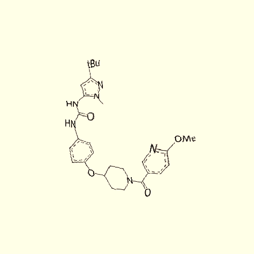 COc1ccc(C(=O)N2CCC(Oc3ccc(NC(=O)Nc4cc(C(C)(C)C)nn4C)cc3)CC2)cn1